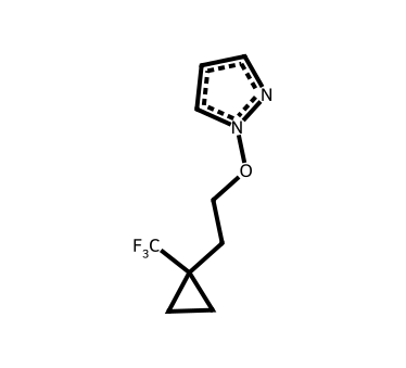 FC(F)(F)C1(CCOn2cccn2)CC1